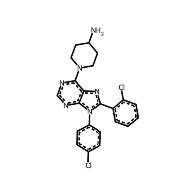 NC1CCN(c2ncnc3c2nc(-c2ccccc2Cl)n3-c2ccc(Cl)cc2)CC1